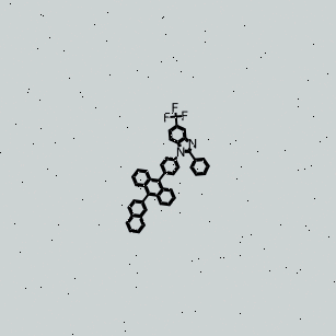 FC(F)(F)c1ccc2c(c1)nc(-c1ccccc1)n2-c1ccc(-c2c3ccccc3c(-c3ccc4ccccc4c3)c3ccccc23)cc1